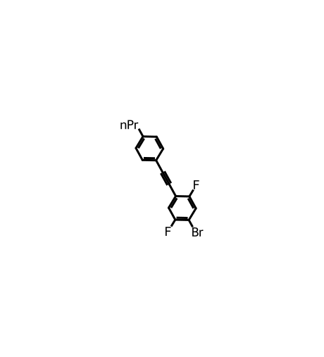 CCCc1ccc(C#Cc2cc(F)c(Br)cc2F)cc1